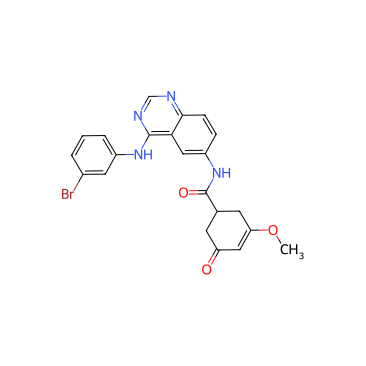 COC1=CC(=O)CC(C(=O)Nc2ccc3ncnc(Nc4cccc(Br)c4)c3c2)C1